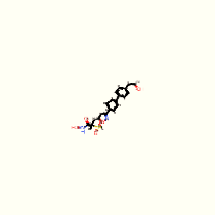 C[C@H](O)Cc1ccc(-c2ccc(C3=NO[C@@H](CC(C)(C(=O)NO)S(C)(=O)=O)C3)cc2)cc1